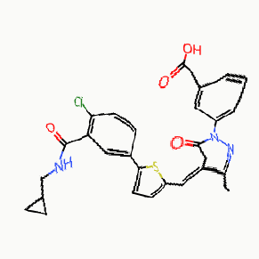 CC1=NN(c2cccc(C(=O)O)c2)C(=O)C1=Cc1ccc(-c2ccc(Cl)c(C(=O)NCC3CC3)c2)s1